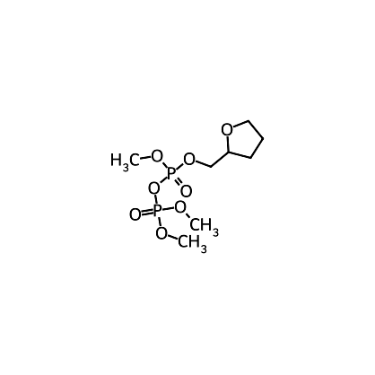 COP(=O)(OC)OP(=O)(OC)OCC1CCCO1